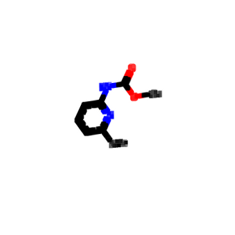 CNc1cccc(NC(=O)OC(C)(C)C)n1